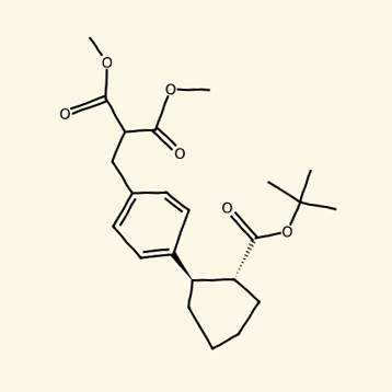 COC(=O)C(Cc1ccc([C@@H]2CCCC[C@H]2C(=O)OC(C)(C)C)cc1)C(=O)OC